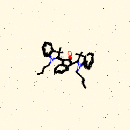 CCCCN1/C(=C2/C(=O)C(C3N(CCCC)c4ccccc4C3(C)C)c3ccccc32)C(C)(C)c2ccccc21